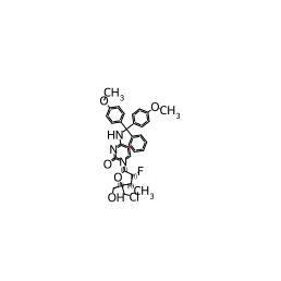 COc1ccc(C(Nc2ccn([C@@H]3O[C@@](CO)(CCl)[C@@H](C)[C@H]3F)c(=O)n2)(c2ccccc2)c2ccc(OC)cc2)cc1